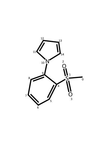 CS(=O)(=O)c1ccccc1-n1cccc1